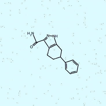 NC(=O)c1n[nH]c2c1CCC(c1ccccc1)C2